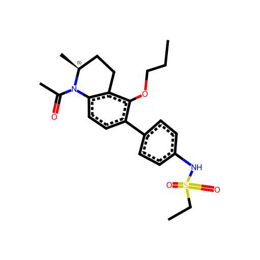 CCCOc1c(-c2ccc(NS(=O)(=O)CC)cc2)ccc2c1CC[C@H](C)N2C(C)=O